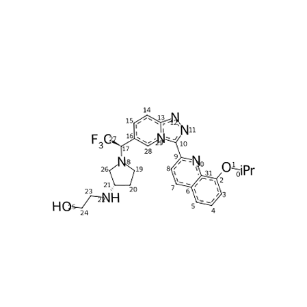 CC(C)Oc1cccc2ccc(-c3nnc4ccc([C@@H](N5CC[C@H](NCCO)C5)C(F)(F)F)cn34)nc12